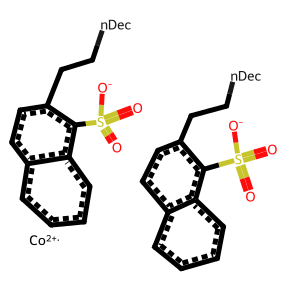 CCCCCCCCCCCCc1ccc2ccccc2c1S(=O)(=O)[O-].CCCCCCCCCCCCc1ccc2ccccc2c1S(=O)(=O)[O-].[Co+2]